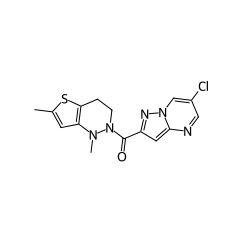 Cc1cc2c(s1)CCN(C(=O)c1cc3ncc(Cl)cn3n1)N2C